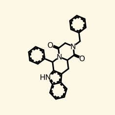 O=C1C2Cc3c([nH]c4ccccc34)C(c3ccccc3)N2C(=O)CN1Cc1ccccc1